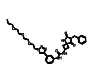 CCCOCCOCCOCCn1cc(-c2cccc(NC(=O)NC3CC4(C3)NC(=O)N(Cc3ccccc3)C4=O)c2)nn1